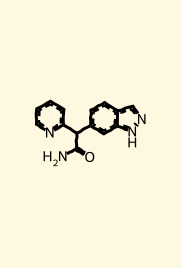 NC(=O)C(c1ccc2cn[nH]c2c1)c1ccccn1